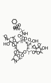 CON=C1C[C@@H](C)O[C@@H](O[C@@H]2[C@@H](C)[C@H](O[C@H]3C[C@H](C)N(C)C[C@H](C)O3)[C@@H](C)C(=O)OC(C(C)CO[C@@H]3O[C@H](C)[C@@H](O)[C@@H](OC)[C@H]3OC)[C@@H](C)[C@@H]([C@H](C(=O)O)C(C)C)[C@@H](C)C(=O)[C@@](C)(OC(=O)NC(C)(C)CNS(=O)(=O)c3ccccc3)C[C@@H]2C)[C@@H]1O